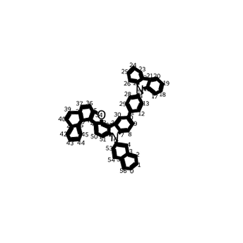 c1ccc2cc(-n3c4ccc(-c5ccc(-n6c7ccccc7c7ccccc76)cc5)cc4c4c5oc6ccc7ccc8ccccc8c7c6c5ccc43)ccc2c1